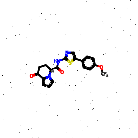 O=C1CC[C@@H](C(=O)Nc2ncc(-c3ccc(OC(F)(F)F)cc3)s2)n2cccc21